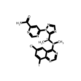 C[C@@H](c1ncnn1-c1cc(C(N)=O)ncn1)N(C)c1ncnc2c(I)cc(Cl)cc12